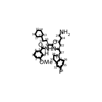 COc1cccc(C(=O)N[C@@H](CCC2CCCCC2)C(=O)N[C@@H](CCCCN)CN2CCc3cc(F)ccc32)c1